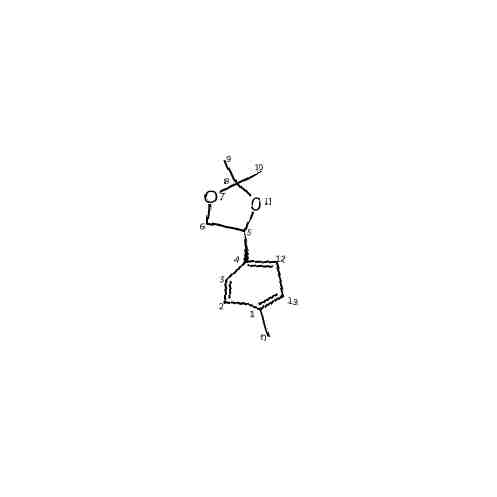 Cc1ccc([C@H]2COC(C)(C)O2)cc1